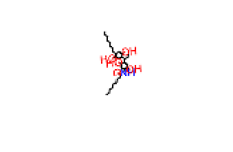 CCCCCCCCC(=O)Nc1cc(O)c(C(CC)c2cc(O)c(CCCCCCCC)cc2O)cc1O